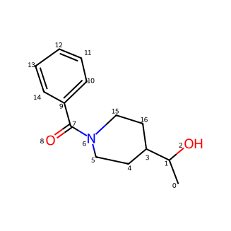 CC(O)C1CCN(C(=O)c2ccccc2)CC1